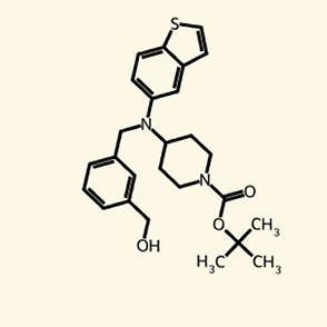 CC(C)(C)OC(=O)N1CCC(N(Cc2cccc(CO)c2)c2ccc3sccc3c2)CC1